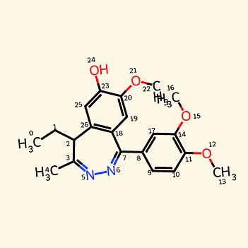 CCC1C(C)=NN=C(c2ccc(OC)c(OC)c2)c2cc(OC)c(O)cc21